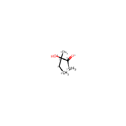 CCC(C)(O)C(=O)[SiH3]